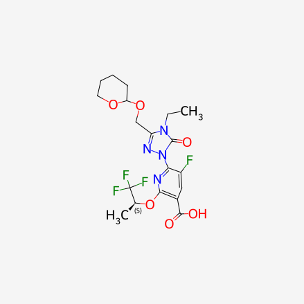 CCn1c(COC2CCCCO2)nn(-c2nc(O[C@@H](C)C(F)(F)F)c(C(=O)O)cc2F)c1=O